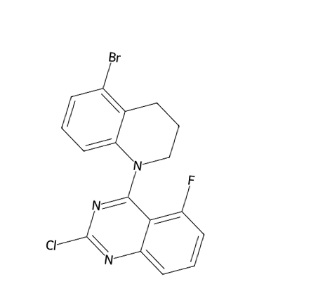 Fc1cccc2nc(Cl)nc(N3CCCc4c(Br)cccc43)c12